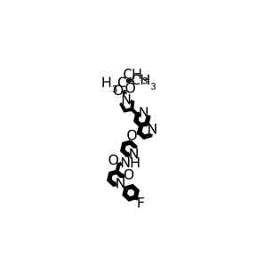 CC(C)(C)OC(=O)N1CCC(c2cc3c(Oc4ccc(NC(=O)c5cccn(-c6ccc(F)cc6)c5=O)nc4)ccnc3cn2)C1